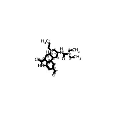 CCCN1C[C@@H](NC(=O)N(CC)CC)CC2c3cc(C=O)cc4[nH]c(Cl)c(c34)C[C@H]21